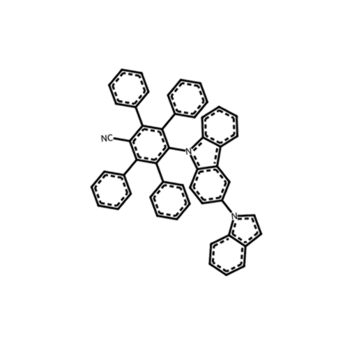 N#Cc1c(-c2ccccc2)c(-c2ccccc2)c(-n2c3ccccc3c3cc(-n4ccc5ccccc54)ccc32)c(-c2ccccc2)c1-c1ccccc1